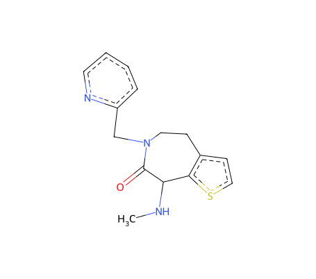 CNC1C(=O)N(Cc2ccccn2)CCc2ccsc21